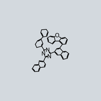 C1=CC(C2=CCCC(c3nc(-c4ccc5ccccc5c4)nc(-c4cc(-c5cccc6oc7ccccc7c56)c5ccccc5c4)n3)=C2)=CCC1